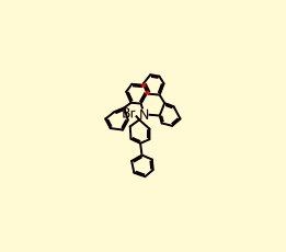 BrC1(N(c2ccccc2-c2ccccc2)c2ccccc2-c2ccccc2)C=CC(c2ccccc2)=CC1